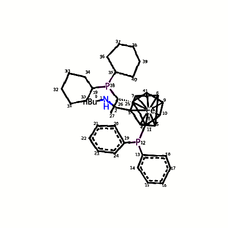 CCCCNC[C]12[CH]3[CH]4[CH]5[CH]1[Fe]45321678[CH]2[CH]1[C]6(P(c1ccccc1)c1ccccc1)[C@@]7(C(C)P(C1CCCCC1)C1CCCCC1)[CH]28